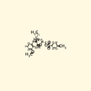 CCCN1C[C@H](COS(=O)(=O)c2ccc(C)cc2)O[C@H]2Cc3c(cccc3OC)C[C@@H]21